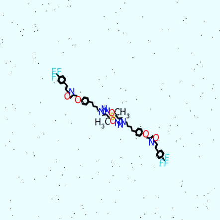 CC(c1cn(CCCCc2ccc(OCc3coc(C=Cc4ccc(C(F)(F)F)cc4)n3)cc2)nn1)S(=O)(=O)C(C)c1cn(CCCCc2ccc(OCc3coc(C=Cc4ccc(C(F)(F)F)cc4)n3)cc2)nn1